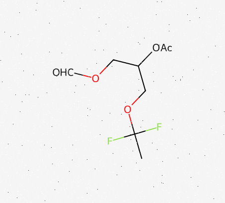 CC(=O)OC(COC=O)COC(C)(F)F